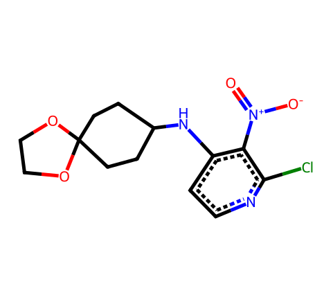 O=[N+]([O-])c1c(NC2CCC3(CC2)OCCO3)ccnc1Cl